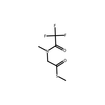 CSC(=O)CN(C)C(=O)C(F)(F)F